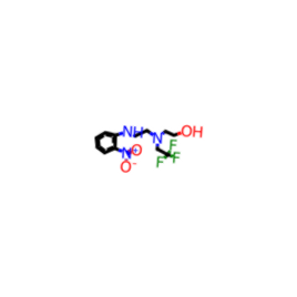 O=[N+]([O-])c1ccccc1NCCN(CCO)CC(F)(F)F